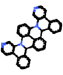 c1ccc2c(c1)-c1ccncc1N1c3cccc4c3-c3c(cccc3C3c5ccccc5-c5ccncc5N43)C21